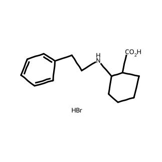 Br.O=C(O)C1CCCCC1NCCc1ccccc1